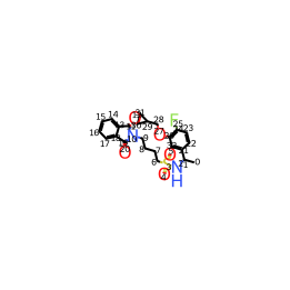 CC(NS(=O)(=O)CCCCN1C(=O)c2ccccc2C1=O)c1ccc(F)c(OCC2CC2)c1